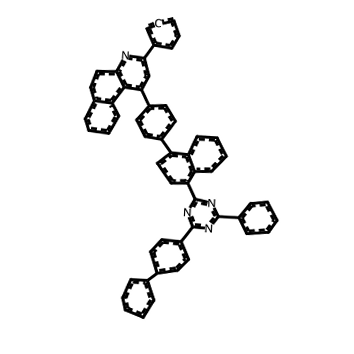 c1ccc(-c2ccc(-c3nc(-c4ccccc4)nc(-c4ccc(-c5ccc(-c6cc(-c7ccccc7)nc7ccc8ccccc8c67)cc5)c5ccccc45)n3)cc2)cc1